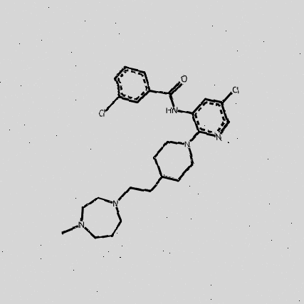 CN1CCCN(CCC2CCN(c3ncc(Cl)cc3NC(=O)c3cccc(Cl)c3)CC2)CC1